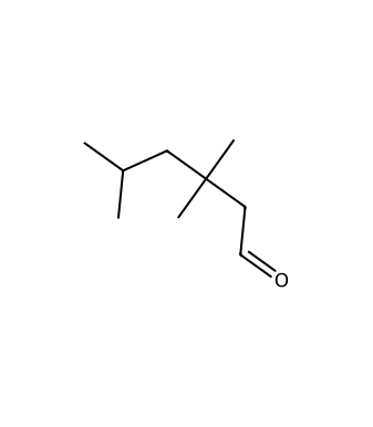 CC(C)CC(C)(C)CC=O